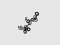 Cc1cc(-c2cc(F)ccc2O[C@H](C)CCO[Si](c2ccccc2)(c2ccccc2)C(C)(C)C)ccc1C(=O)OCc1ccccc1